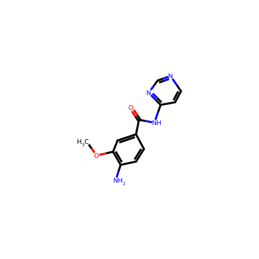 COc1cc(C(=O)Nc2ccncn2)ccc1N